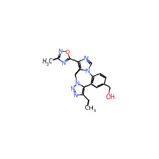 CCc1nnn2c1-c1cc(CO)ccc1-n1cnc(-c3nc(C)no3)c1C2